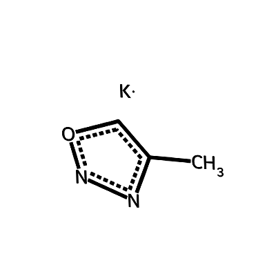 Cc1conn1.[K]